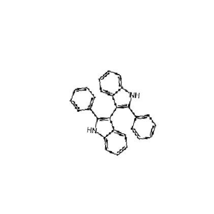 c1ccc(-c2[nH]c3ccccc3c2-c2c(-c3ccccc3)[nH]c3ccccc23)cc1